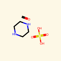 C1CNCCN1.C=O.O=S(=O)(O)O